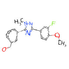 COc1ccc(-c2nc(-c3cccc(C=O)c3)n(C)n2)cc1F